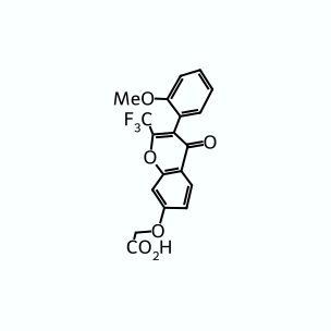 COc1ccccc1-c1c(C(F)(F)F)oc2cc(OCC(=O)O)ccc2c1=O